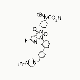 CC(C)N1CCN(Cc2ccc(-c3cccc(-n4c(=O)n([C@H]5CC[C@@H](N(C(=O)O)C(C)(C)C)CC5)c(=O)c5cc(F)cnc54)c3)cc2)CC1